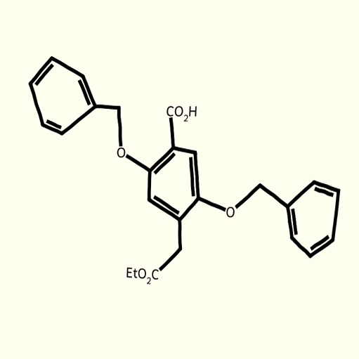 CCOC(=O)Cc1cc(OCc2ccccc2)c(C(=O)O)cc1OCc1ccccc1